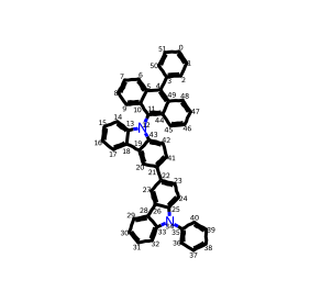 c1ccc(-c2c3ccccc3c(-n3c4ccccc4c4cc(-c5ccc6c(c5)c5ccccc5n6-c5ccccc5)ccc43)c3ccccc23)cc1